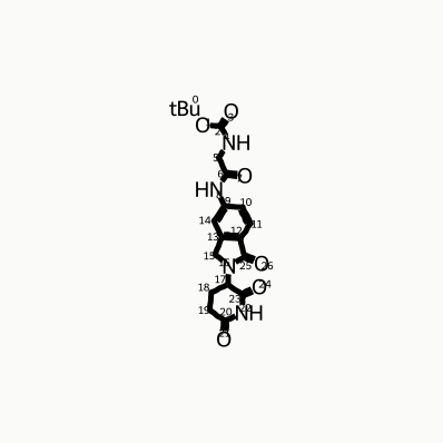 CC(C)(C)OC(=O)NCC(=O)Nc1ccc2c(c1)CN(C1CCC(=O)NC1=O)C2=O